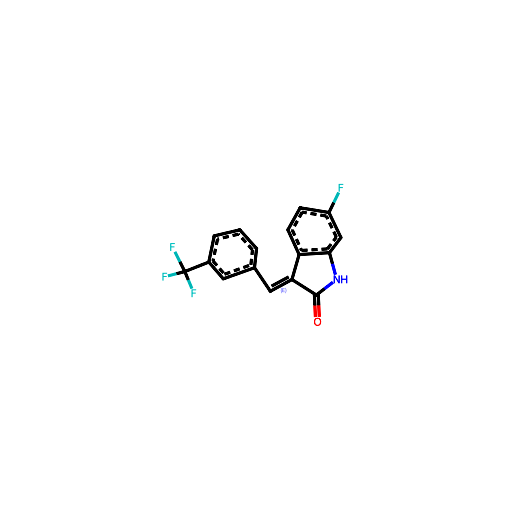 O=C1Nc2cc(F)ccc2/C1=C\c1cccc(C(F)(F)F)c1